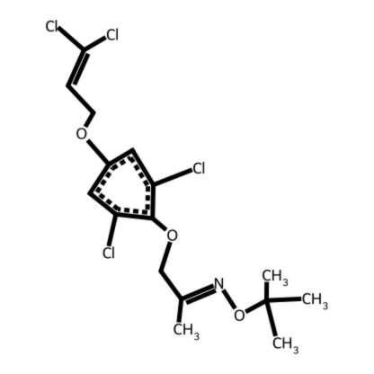 CC(COc1c(Cl)cc(OCC=C(Cl)Cl)cc1Cl)=NOC(C)(C)C